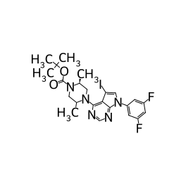 CC1CN(C(=O)OC(C)(C)C)[C@@H](C)CN1c1ncnc2c1c(I)cn2-c1cc(F)cc(F)c1